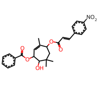 CC1=CC(OC(=O)c2ccccc2)C(O)C(C)(C)CC1OC(=O)C=Cc1ccc([N+](=O)[O-])cc1